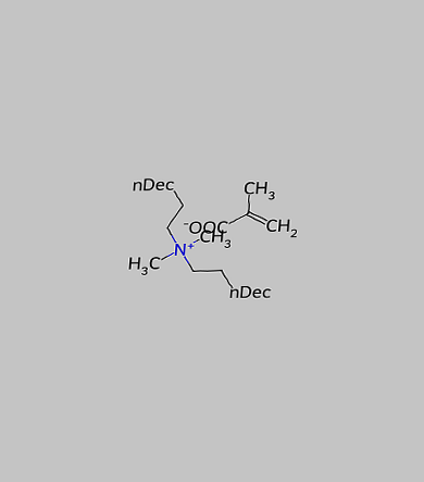 C=C(C)C(=O)[O-].CCCCCCCCCCCC[N+](C)(C)CCCCCCCCCCCC